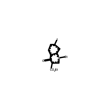 CCOC(=O)c1cn(CC)c2cc(I)ccc2c1=O